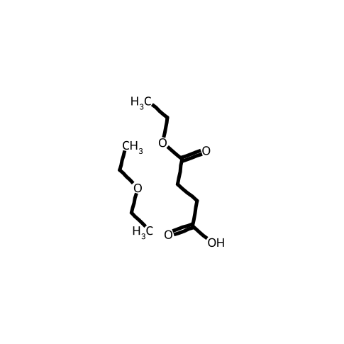 CCOC(=O)CCC(=O)O.CCOCC